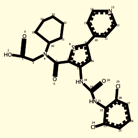 O=C(O)CN(C(=O)c1sc(-c2ccncc2)cc1NC(=O)Nc1c(Cl)cccc1Cl)C1CCCCC1